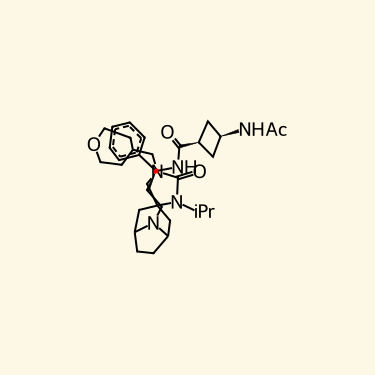 CC(=O)N[C@H]1C[C@@H](C(=O)N[C@@H](CCN2C3CCC2CC2(C3)CN(CC3CCOCC3)C(=O)N2C(C)C)c2ccccc2)C1